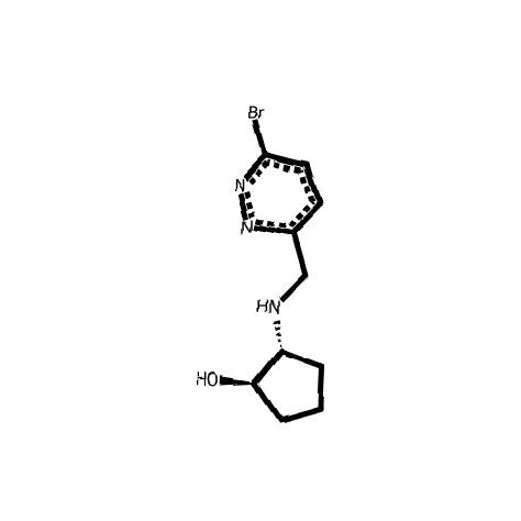 O[C@@H]1CCC[C@H]1NCc1ccc(Br)nn1